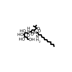 CCCCCCCCCCC(N)C(=O)NC(CC(=O)N[C@@H]1OC(CO)[C@@H](O)[C@H](O)C1O)C(=O)C(C)C